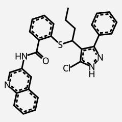 CCCC(Sc1ccccc1C(=O)Nc1cnc2ccccc2c1)c1c(-c2ccccc2)n[nH]c1Cl